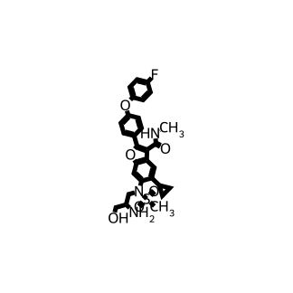 CNC(=O)c1c(-c2ccc(Oc3ccc(F)cc3)cc2)oc2cc(N(CC(N)CO)S(C)(=O)=O)c(C3CC3)cc12